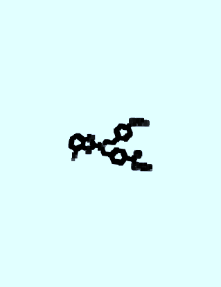 COC(=O)c1ccc(CN(CCc2ccc(OC)cc2)c2nc3cccc(F)c3s2)cc1